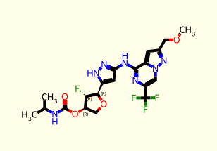 COCc1cc2c(Nc3cc([C@H]4OC[C@@H](OC(=O)NC(C)C)[C@@H]4F)[nH]n3)nc(C(F)(F)F)cn2n1